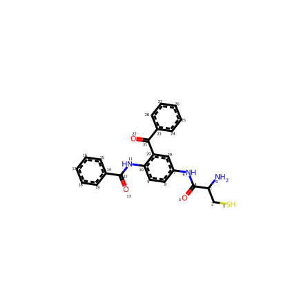 NC(CS)C(=O)Nc1ccc(NC(=O)c2ccccc2)c(C(=O)c2ccccc2)c1